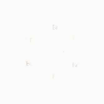 FC1(Br)C(F)(Br)C1(F)Br